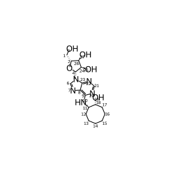 OC[C@H]1O[C@@H](n2cnc3c(N[C@@H]4CCCCCC[C@H]4O)ncnc32)[C@H](O)[C@@H]1O